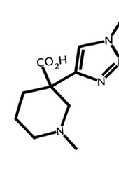 CN1CCCC(C(=O)O)(c2cn(C)nn2)C1